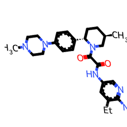 CCc1cc(NC(=O)C(=O)N2C[C@H](C)CC[C@H]2c2ccc(N3CCN(C)CC3)cc2)cnc1N